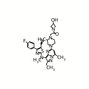 CCc1nn2c(C)cc(N3CCN(CC(=O)N4CC(O)C4)C(C)C3)nc2c1N(C)c1nc(-c2ccc(F)cc2)c(C#N)s1